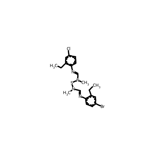 CCc1cc(Cl)ccc1N=CN(C)SN(C)C=Nc1ccc(Br)cc1CC